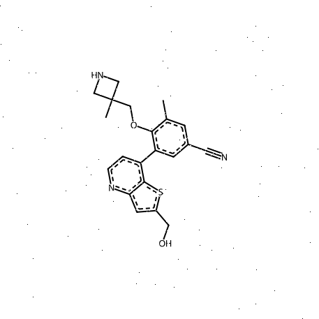 Cc1cc(C#N)cc(-c2ccnc3cc(CO)sc23)c1OCC1(C)CNC1